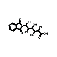 O=C(O)C(O)C(O)C(O)C(O)C(O)N1C(=O)c2ccccc2C1=O